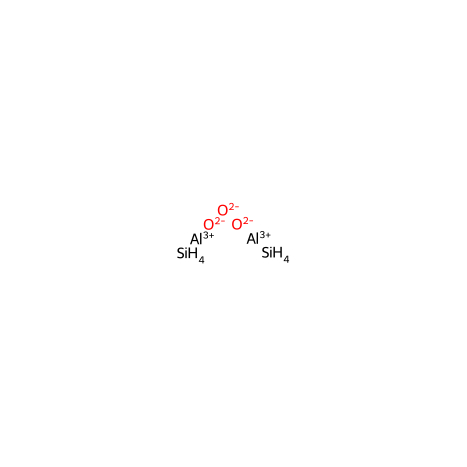 [Al+3].[Al+3].[O-2].[O-2].[O-2].[SiH4].[SiH4]